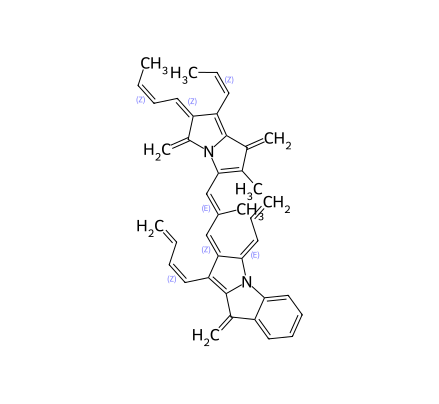 C=C/C=C\c1c(=C/C(C)=C/c2c(C)c(=C)c3c(/C=C\C)/c(=C/C=C\C)c(=C)n23)/c(=C\C=C)n2c1c(=C)c1ccccc12